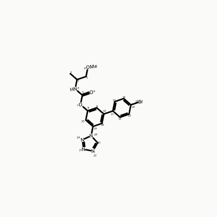 COCC(C)NC(=O)Oc1cc(-c2ccc(Br)cc2)cc(-n2cnnn2)c1